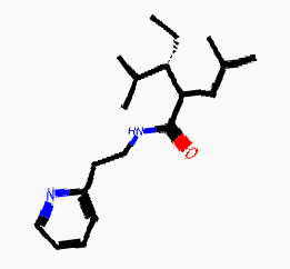 CC[C@@H](C(C)C)C(CC(C)C)C(=O)NCCc1ccccn1